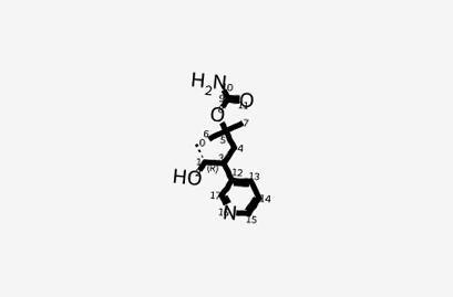 C[C@@H](O)C(CC(C)(C)OC(N)=O)c1cccnc1